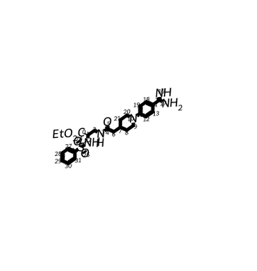 CCOC(=O)[C@H](CNC(=O)CC1CCN(c2ccc(C(=N)N)cc2)CC1)NS(=O)(=O)c1ccccc1